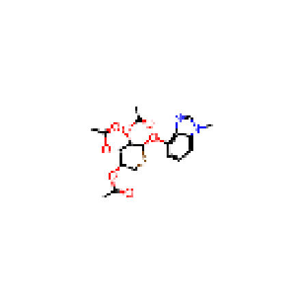 CC(=O)O[C@@H]1[C@@H](OC(C)=O)[C@@H](Oc2cccc3c2ncn3C)SC[C@H]1OC(C)=O